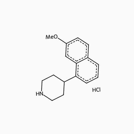 COc1ccc2cccc(C3CCNCC3)c2c1.Cl